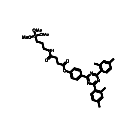 CO[Si](CCCNC(=O)CCC(=O)Oc1ccc(-c2nc(-c3ccc(C)cc3C)nc(-c3ccc(C)cc3C)n2)cc1)(OC)OC